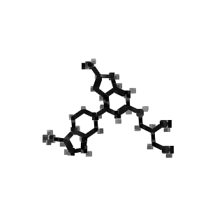 CCCc1cc2c(N3CCn4c(nnc4C(F)(F)F)C3)nc(OCC(O)CO)nc2s1